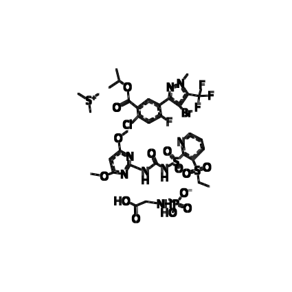 CC(C)OC(=O)c1cc(-c2nn(C)c(C(F)(F)F)c2Br)c(F)cc1Cl.CCS(=O)(=O)c1cccnc1S(=O)(=O)NC(=O)Nc1nc(OC)cc(OC)n1.C[S+](C)C.O=C(O)CNCP(=O)([O-])O